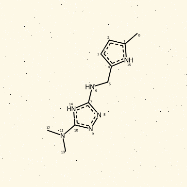 Cc1ccc(CNc2nnc(N(C)C)[nH]2)[nH]1